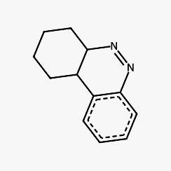 c1ccc2c(c1)N=NC1CCCCC21